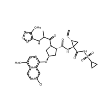 C=C[C@@H]1C[C@]1(NC(=O)[C@@H]1C[C@@H](Oc2ncc(OC)c3ccc(Cl)cc23)CN1C(=O)C(C)Nc1nsnc1OC)C(=O)NS(=O)(=O)C1CC1